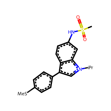 CSc1ccc(-c2cn(C(C)C)c3cc(NS(C)(=O)=O)ccc23)cc1